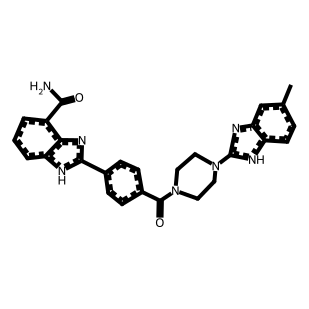 Cc1ccc2[nH]c(N3CCN(C(=O)c4ccc(-c5nc6c(C(N)=O)cccc6[nH]5)cc4)CC3)nc2c1